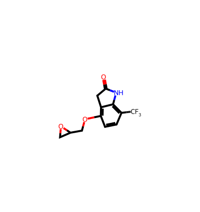 O=C1Cc2c(OCC3CO3)ccc(C(F)(F)F)c2N1